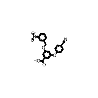 N#Cc1ccc(Oc2cc(OCc3cccc([N+](=O)[O-])c3)cc(C(=O)O)c2)cc1